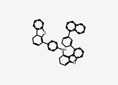 C1=CC(c2ccc(NC3=c4c(oc5cccc(C6=CC(c7cccc8ccccc78)=CCC6)c45)=CCC3)cc2)=C2Sc3ccccc3C2C1